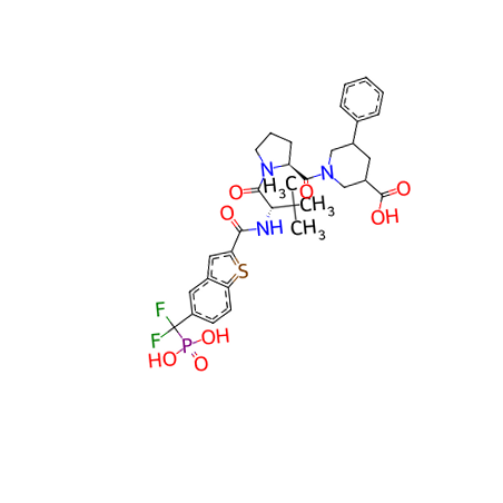 CC(C)(C)[C@H](NC(=O)c1cc2cc(C(F)(F)P(=O)(O)O)ccc2s1)C(=O)N1CCC[C@H]1C(=O)N1CC(C(=O)O)CC(c2ccccc2)C1